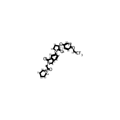 O=C(CN1Cc2ccc(N3CC[C@@H](Oc4ccc(OCC(F)(F)F)nc4)C3=O)cc2C1=O)N1CCCCC1